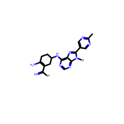 CCn1c(-c2cnc(C)nc2)nc2c(NC3CCC(N)=C(C(=N)C(C)C)C3)ncnc21